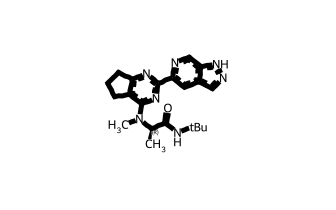 C[C@H](C(=O)NC(C)(C)C)N(C)c1nc(-c2cc3cn[nH]c3cn2)nc2c1CCC2